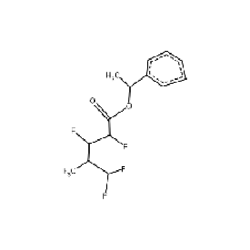 CC(OC(=O)C(F)C(F)C(C(F)F)C(F)(F)F)c1ccccc1